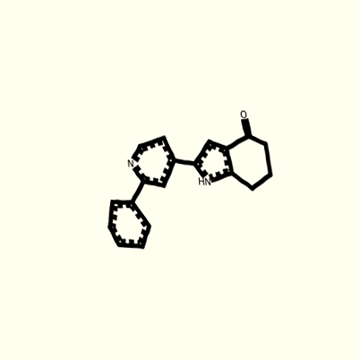 O=C1CCCc2[nH]c(-c3ccnc(-c4ccccc4)c3)cc21